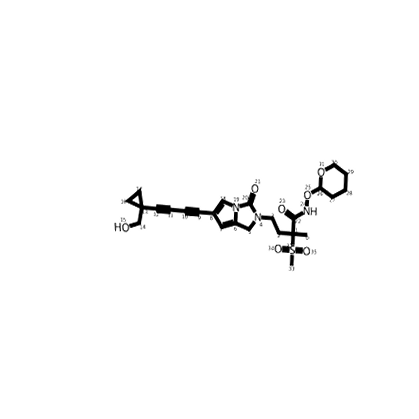 CC(CCN1Cc2cc(C#CC#CC3(CO)CC3)cn2C1=O)(C(=O)NOC1CCCCO1)S(C)(=O)=O